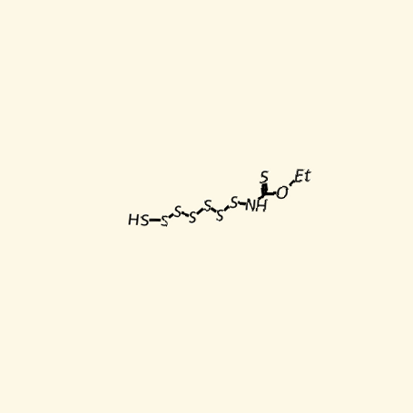 CCOC(=S)NSSSSSSS